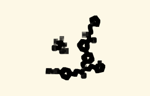 COc1ccc(C=CC(=O)N(CCc2cccs2)Cc2cccc(-c3cccc(C(=O)NCCN4CCCC4)c3)c2)cc1.O=C(O)C(F)(F)F